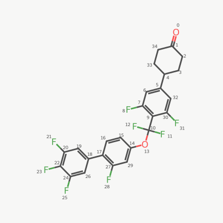 O=C1CCC(c2cc(F)c(C(F)(F)Oc3ccc(-c4cc(F)c(F)c(F)c4)c(F)c3)c(F)c2)CC1